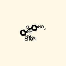 CC(C)(C)ON(C=O)c1ccccc1NC(=O)c1ccc([N+](=O)[O-])cc1